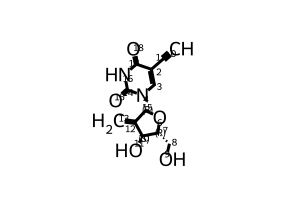 C#Cc1cn([C@@H]2O[C@H](CO)[C@@H](O)C2=C)c(=O)[nH]c1=O